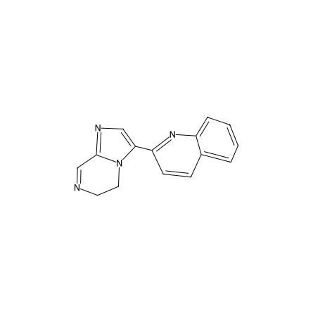 C1=NCCn2c(-c3ccc4ccccc4n3)cnc21